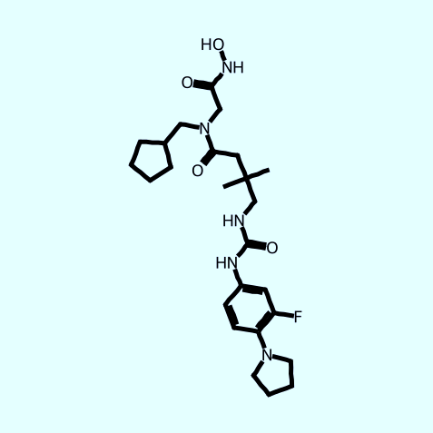 CC(C)(CNC(=O)Nc1ccc(N2CCCC2)c(F)c1)CC(=O)N(CC(=O)NO)CC1CCCC1